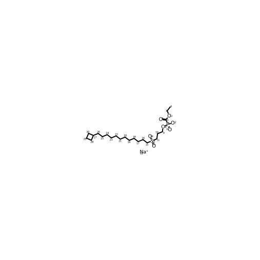 CCOC(=O)P(=O)([O-])OCCCS(=O)(=O)CCCCCCCCCCCCC1CCC1.[Na+]